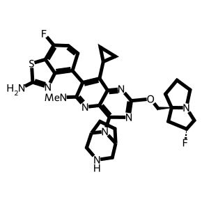 CNc1nc2c(N3C4CCC3CNC4)nc(OC[C@@]34CCCN3C[C@H](F)C4)nc2c(C2CC2)c1-c1ccc(F)c2sc(N)nc12